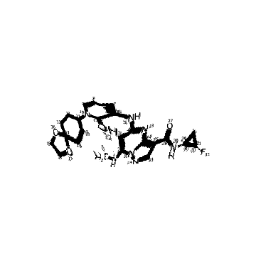 CNc1cc(NC2=CC=CN(C3CCC4(CC3)OCCO4)C2O)nc2c(C(=O)N[C@@H]3C[C@@H]3F)cnn12